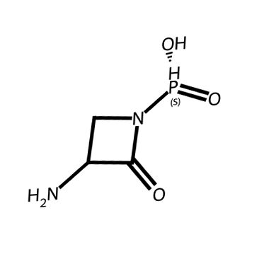 NC1CN([P@@H](=O)O)C1=O